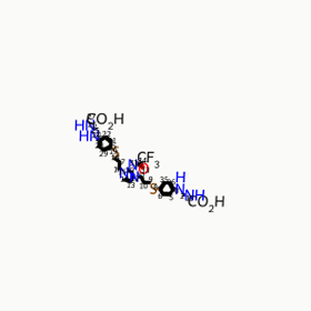 O=C(O)NCNc1ccc(SCCCn2ccn(CCCSc3ccc(NCNC(=O)O)cc3)c2=NC(=O)C(F)(F)F)cc1